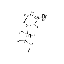 C=C(CC)C(F)(F)c1cccc(Br)c1